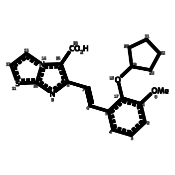 COc1cccc(/C=C/c2nc3sccn3c2C(=O)O)c1OC1CCCC1